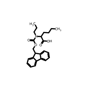 CCCCC(C(=O)O)N(CCC)C(=O)OCC1c2ccccc2-c2ccccc21